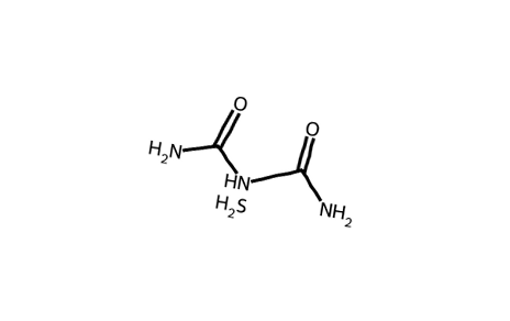 NC(=O)NC(N)=O.S